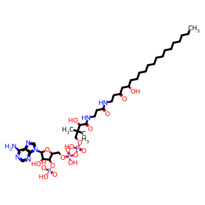 CCCCCCCCCCCCCCCC(O)CC(=O)CCNC(=O)CCNC(=O)C(O)C(C)(C)COP(=O)(O)OP(=O)(O)OCC1OC(n2cnc3c(N)ncnc32)C(O)C1OP(=O)(O)O